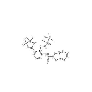 CC1(C)OB(c2cccc(NC(=O)N3Cc4ccccc4C3)c2CO[Si](C)(C)C(C)(C)C)OC1(C)C